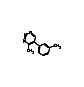 Cc1cccc(-c2cnnnc2C)c1